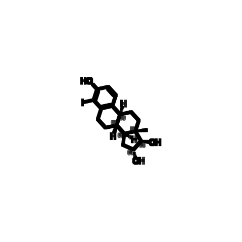 C[C@]12CC[C@@H]3c4ccc(O)c(I)c4CC[C@H]3[C@@H]1C[C@@H](O)[C@@H]2O